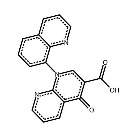 O=C(O)c1cn(-c2cccc3cccnc23)c2ncccc2c1=O